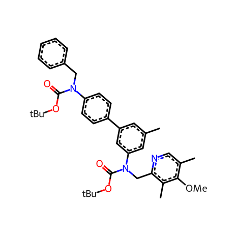 COc1c(C)cnc(CN(C(=O)OC(C)(C)C)c2cc(C)cc(-c3ccc(N(Cc4ccccc4)C(=O)OC(C)(C)C)cc3)c2)c1C